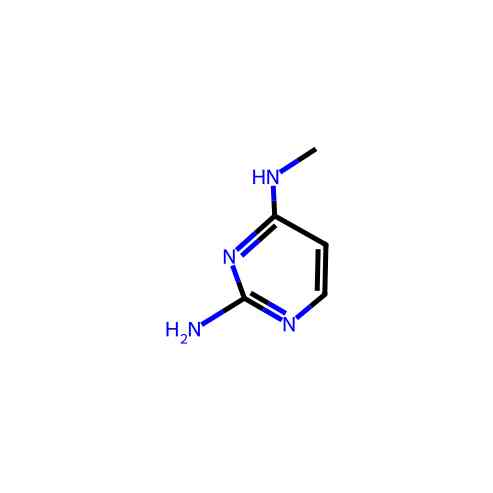 CNc1ccnc(N)n1